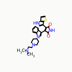 CN(C)CCN1CCC(n2cc(C3=C(c4c[nH]c5ccsc45)C(=O)NC3=O)c3ccccc32)CC1